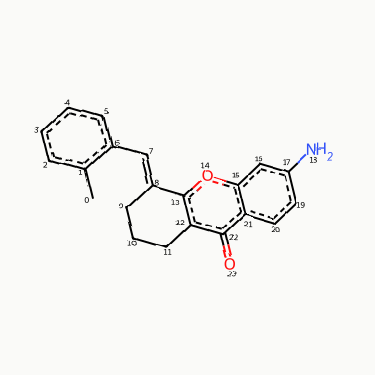 Cc1ccccc1C=C1CCCc2c1oc1cc(N)ccc1c2=O